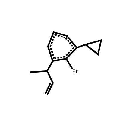 [CH2]C(C=C)c1cccc(C2CC2)c1CC